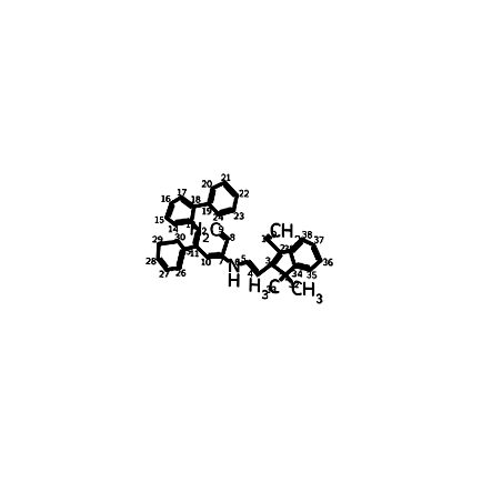 C=CC1=C(/C=C/N/C(C=C)=C/C(=C/c2ccccc2-c2ccccc2)C2=CC=CCC2)C(C)(C)c2ccccc21